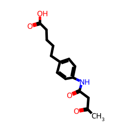 CC(=O)CC(=O)Nc1ccc(CCCCC(=O)O)cc1